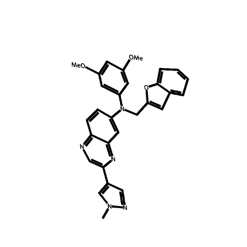 COc1cc(OC)cc(N(Cc2cc3ccccc3o2)c2ccc3ncc(-c4cnn(C)c4)nc3c2)c1